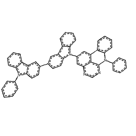 c1ccc(N2c3ccccc3-c3cc(-n4c5ccccc5c5cc(-c6ccc7c(c6)c6ccccc6n7-c6ccccc6)ccc54)cc4ncnc2c34)cc1